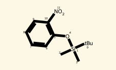 CC(C)(C)[Si](C)(C)Oc1[c]cccc1[N+](=O)[O-]